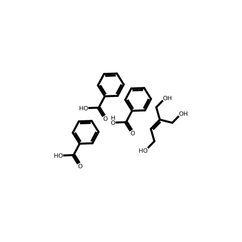 O=C(O)c1ccccc1.O=C(O)c1ccccc1.O=C(O)c1ccccc1.OCC=C(CO)CO